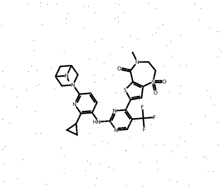 CN1CCS(=O)(=O)c2cc(-c3nc(Nc4ccc(N5CC6CC(C5)N6C)nc4C4CC4)ncc3C(F)(F)F)sc2C1=O